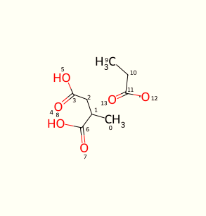 CC(CC(=O)O)C(=O)O.CCC([O])=O